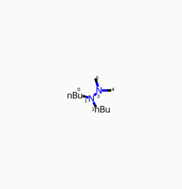 CCCCN(CCCC)N(C)C